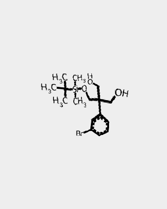 CC(C)(C)[Si](C)(C)OCC(CO)(CO)c1cccc(Br)c1